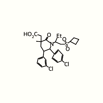 CCC(CS(=O)(=O)C1CCC1)N1C(=O)C(C)(CC(=O)O)CC(c2cccc(Cl)c2)C1c1ccc(Cl)cc1